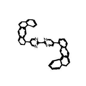 C1=CCC2C(=C1)C=Cc1cc3c(cc12)=C(c1cnc(-c2ncc(-c4cccc5cc6c(cc45)=C4C=CC=CC4CC=6)cn2)nc1)CCC=3